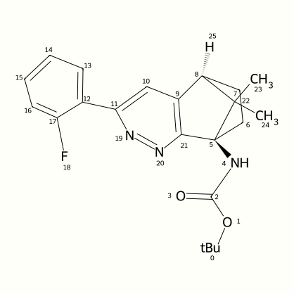 CC(C)(C)OC(=O)N[C@@]12CC[C@H](c3cc(-c4ccccc4F)nnc31)C2(C)C